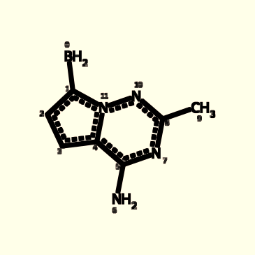 Bc1ccc2c(N)nc(C)nn12